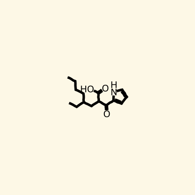 CCCCC(CC)CC(C(=O)O)C(=O)c1ccc[nH]1